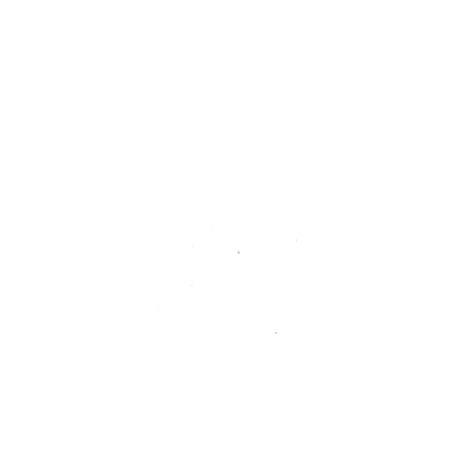 CC(O)Cc1ccc(C(=O)O)c(CC(C)O)c1C(=O)O